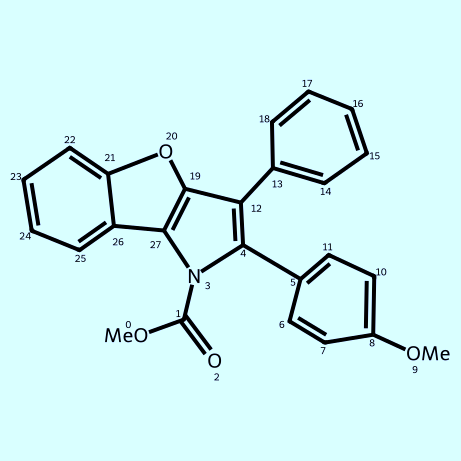 COC(=O)n1c(-c2ccc(OC)cc2)c(-c2ccccc2)c2oc3ccccc3c21